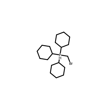 BrC[PH](C1CCCCC1)(C1CCCCC1)C1CCCCC1